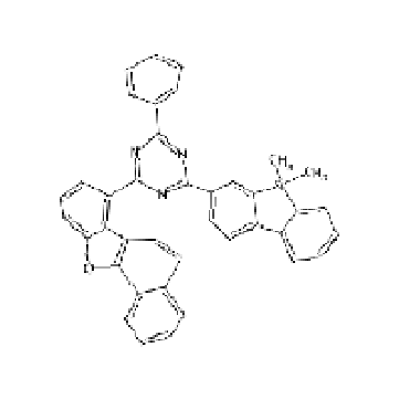 C[Si]1(C)c2ccccc2-c2ccc(-c3nc(-c4ccccc4)nc(-c4cccc5oc6c7ccccc7ccc6c45)n3)cc21